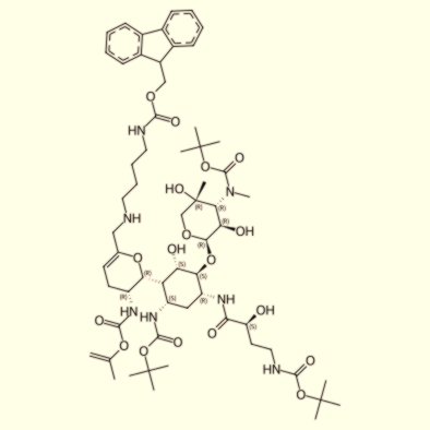 C=C(C)OC(=O)N[C@@H]1CC=C(CNCCCCNC(=O)OCC2c3ccccc3-c3ccccc32)O[C@@H]1C1[C@@H](NC(=O)OC(C)(C)C)C[C@@H](NC(=O)[C@@H](O)CCNC(=O)OC(C)(C)C)[C@H](O[C@H]2OC[C@](C)(O)[C@H](N(C)C(=O)OC(C)(C)C)[C@H]2O)[C@H]1O